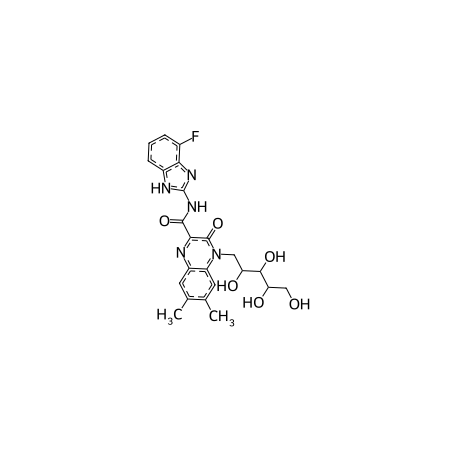 Cc1cc2nc(C(=O)Nc3nc4c(F)cccc4[nH]3)c(=O)n(CC(O)C(O)C(O)CO)c2cc1C